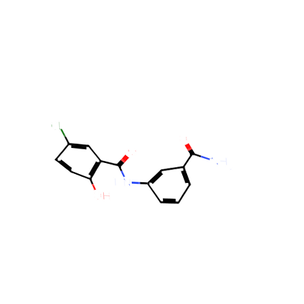 NC(=O)c1cccc(NC(=O)c2cc(Cl)ccc2O)c1